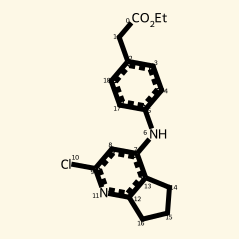 CCOC(=O)Cc1ccc(Nc2cc(Cl)nc3c2CCC3)cc1